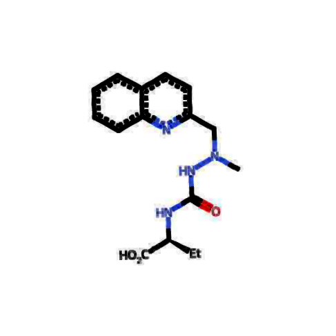 CC[C@H](NC(=O)NN(C)Cc1ccc2ccccc2n1)C(=O)O